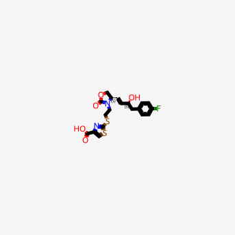 O=C(O)c1csc(SCCN2C(=O)OC[C@@H]2C=C[C@@H](O)Cc2ccc(F)cc2)n1